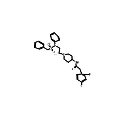 C[C@H](CN(c1ccccc1)S(=O)(=O)Cc1ccccc1)N1CCC(NC(=O)Cc2ccc(F)cc2F)CC1